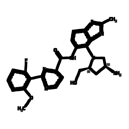 COc1cccc(F)c1-c1nccc(C(=O)Nc2ccc3sc(C)nc3c2N2C[C@@H](N)C[C@H]2CO)n1